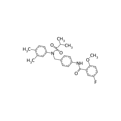 COc1ccc(F)cc1C(=O)Nc1ccc(CN(c2ccc(C)c(C)c2)S(=O)(=O)C(C)C)cc1